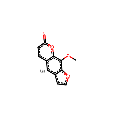 COc1c2occc2cc2ccc(=O)oc12.[LiH]